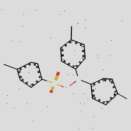 Cc1ccc(B(OS(=O)(=O)c2ccc(C)cc2)c2ccc(C)cc2)cc1